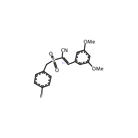 COc1cc(/C=C(\C#N)S(=O)(=O)Cc2ccc(F)cc2)cc(OC)c1